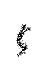 CCC(C(=O)O)[C@H]1CC[C@H](C)[C@@]2(CC2(C)[C@H](O)[C@H](C)C(=O)[C@H](CC)[C@H]2O[C@]3(C=C[C@@H](NC(=O)OCCOC(C)(C)C)[C@]4(CC[C@@](C)([C@H]5CC[C@](O)(CC)[C@H](C)O5)O4)O3)[C@H](C)C[C@@H]2C)O1